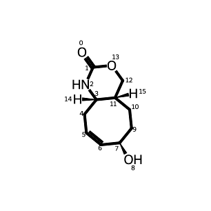 O=C1N[C@H]2C/C=C\[C@H](O)CC[C@H]2CO1